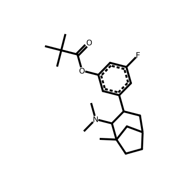 CN(C)C1C(c2cc(F)cc(OC(=O)C(C)(C)C)c2)CC2CCC1(C)C2